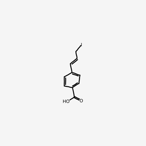 O=C(O)c1ccc(C=CCI)cc1